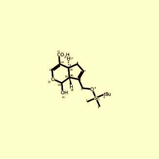 CC(C)(C)[Si](C)(C)OCC1=CC[C@@H]2C(C(=O)O)=COC(O)[C@@H]12